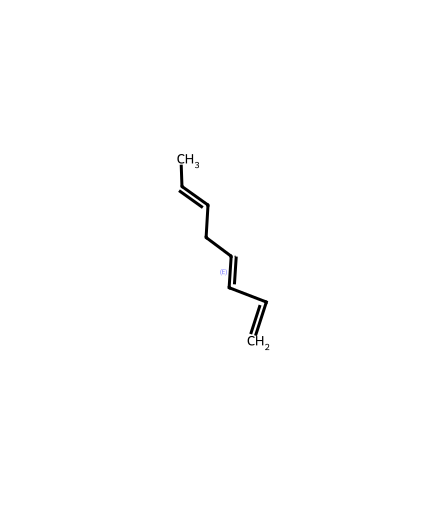 C=C/C=[C]/CC=CC